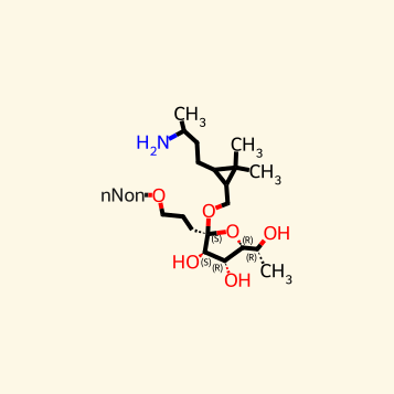 CCCCCCCCCOCCC[C@]1(OCC2C(CCC(C)N)C2(C)C)O[C@H]([C@@H](C)O)[C@H](O)[C@@H]1O